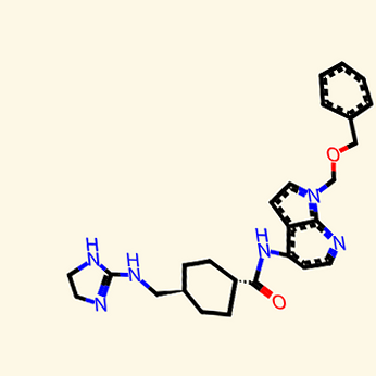 O=C(Nc1ccnc2c1ccn2COCc1ccccc1)[C@H]1CC[C@H](CNC2=NCCN2)CC1